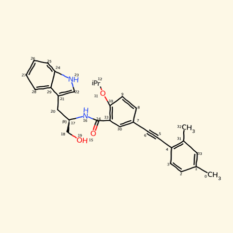 Cc1ccc(C#Cc2ccc(OC(C)C)c(C(=O)N[C@@H](CO)Cc3c[nH]c4ccccc34)c2)c(C)c1